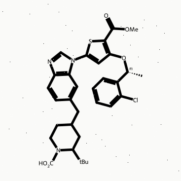 COC(=O)c1sc(-n2cnc3ccc(CC4CCN(C(=O)O)C(C(C)(C)C)C4)cc32)cc1O[C@H](C)c1ccccc1Cl